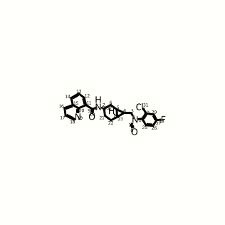 O=CN(CC1C2C[C@H](NC(=O)c3cccc4cccnc34)CC[C@@H]21)c1ccc(F)cc1Cl